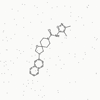 Cc1noc(NC(=O)N2CCC3(CC2)CC(c2ccc4ccccc4c2)CO3)c1C